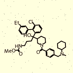 CCc1cccc(-c2c(Cl)cccc2C(O)(CCCNC(=O)OC)C2CCCN(C(=O)c3ccc(CN(C)C4CCCCC4)cc3)C2)c1